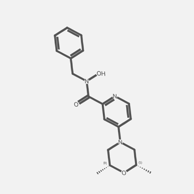 C[C@@H]1CN(c2ccnc(C(=O)N(O)Cc3ccccc3)c2)C[C@H](C)O1